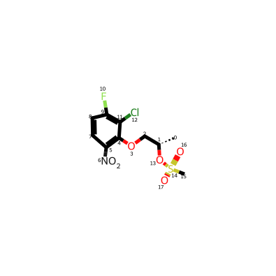 C[C@@H](COc1c([N+](=O)[O-])ccc(F)c1Cl)OS(C)(=O)=O